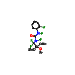 CO[Si](OC)(OC(C)C)C(F)(F)N(F)C(=O)N(F)c1ccccc1F